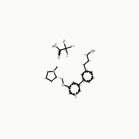 CN1CCC[C@H]1COc1cncc(-c2cccc(CCCO)c2)c1.O=C(O)C(F)(F)F